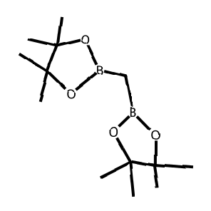 CC1(C)OB(CB2OC(C)(C)C(C)(C)O2)OC1(C)C